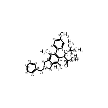 Cc1ccc(-c2c(C)c3c(c(C)c2C(OC(C)(C)C)C(=O)O)CN(Cc2ccncc2)C3)cc1